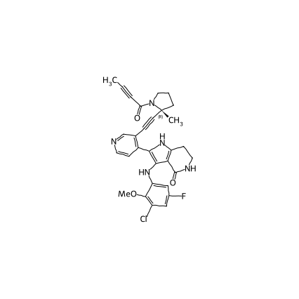 CC#CC(=O)N1CCC[C@]1(C)C#Cc1cnccc1-c1[nH]c2c(c1Nc1cc(F)cc(Cl)c1OC)C(=O)NCC2